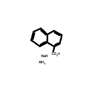 O=C(O)c1cccc2ccccc12.[AlH3].[NaH]